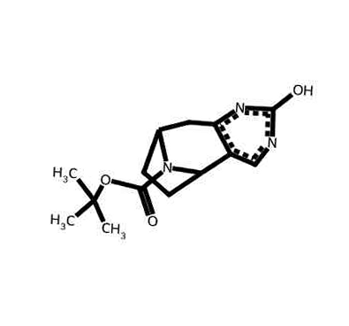 CC(C)(C)OC(=O)N1C2CCC1c1cnc(O)nc1C2